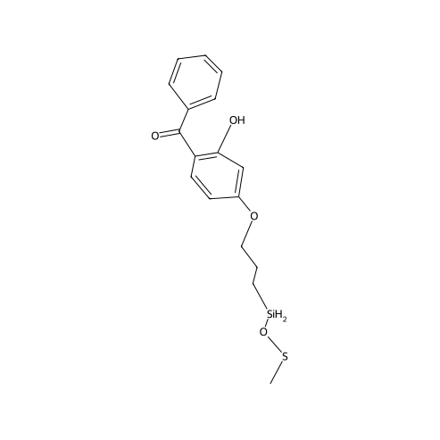 CSO[SiH2]CCCOc1ccc(C(=O)c2ccccc2)c(O)c1